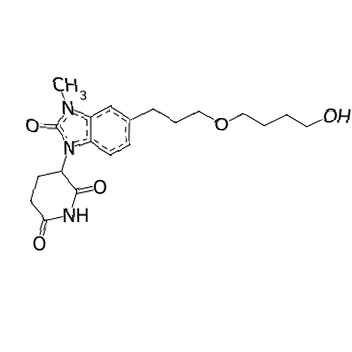 Cn1c(=O)n(C2CCC(=O)NC2=O)c2ccc(CCCOCCCCO)cc21